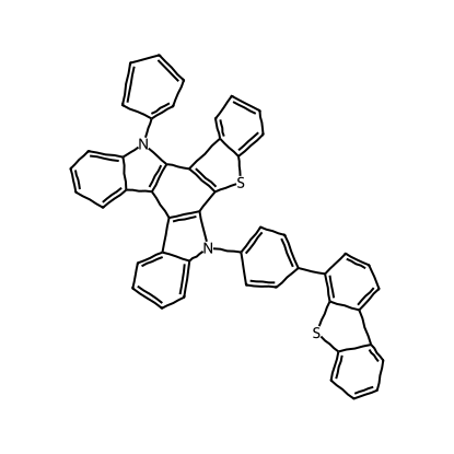 c1ccc(-n2c3ccccc3c3c4c5ccccc5n(-c5ccc(-c6cccc7c6sc6ccccc67)cc5)c4c4sc5ccccc5c4c32)cc1